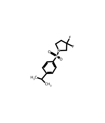 CC(C)c1ccc(S(=O)(=O)N2CCC(F)(F)C2)cc1